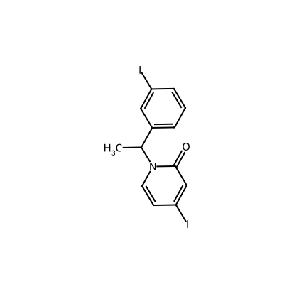 CC(c1cccc(I)c1)n1ccc(I)cc1=O